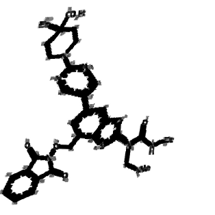 CCNC(=O)N(CNC)c1nc2cc(-c3cnc(N4CCC(CC)(C(=O)OCC)CC4)nc3)cc(CON3C(=O)c4ccccc4C3=O)c2s1